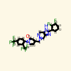 O=c1cc(CN2Cc3nc(-c4cccc(F)c4F)[nH]c3C=N2)ccn1-c1ccc(C(F)(F)F)cc1C(F)(F)F